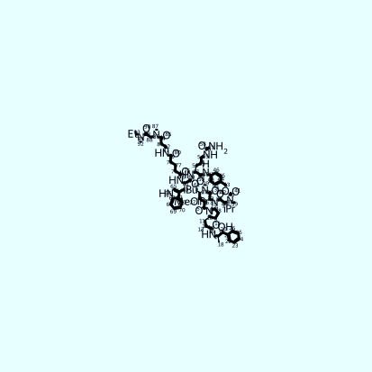 CC[C@H](C)[C@@H]([C@@H](CC(=O)N1CCC[C@H]1C[C@@H](C)C(=O)N[C@H](C)[C@@H](O)c1ccccc1)OC)N(C)C(=O)[C@@H](NC(=O)[C@H](C(C)C)N(C)C(=O)OCc1ccc(NC(=O)[C@H](CCCNC(N)=O)NC(=O)[C@H](Cc2c[nH]c3ccccc23)NC(=O)CCCC(=O)NCCC(=O)N(C)CC(=O)N(C)CC)cc1)C(C)C